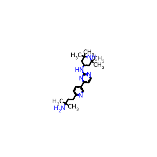 CC(C)(N)CCc1ccc(-c2ccnc(NC3CC(C)(C)NC(C)(C)C3)n2)cn1